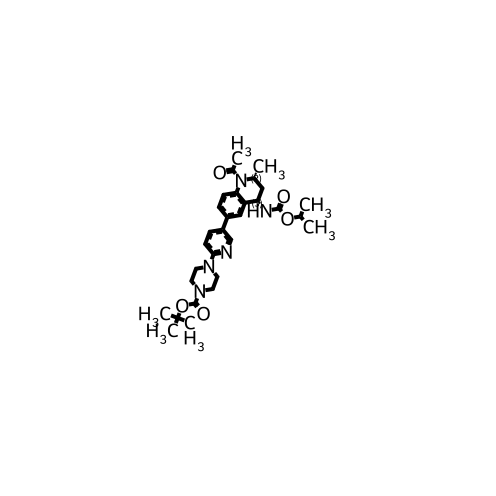 CC(=O)N1c2ccc(-c3ccc(N4CCN(C(=O)OC(C)(C)C)CC4)nc3)cc2[C@@H](NC(=O)OC(C)C)C[C@H]1C